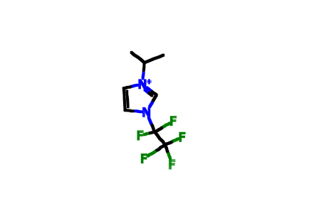 CC(C)[n+]1ccn(C(F)(F)C(F)(F)F)c1